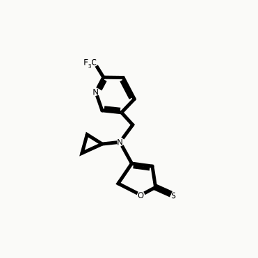 FC(F)(F)c1ccc(CN(C2=CC(=S)OC2)C2CC2)cn1